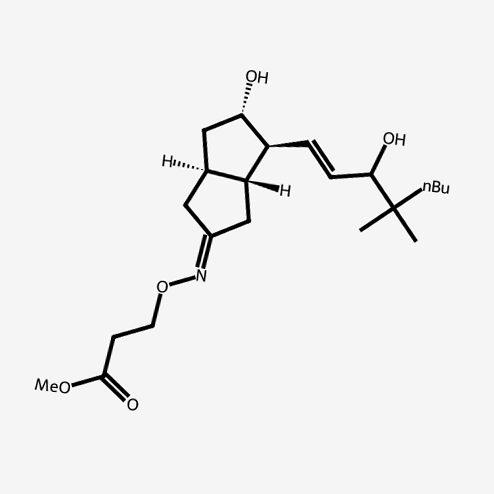 CCCCC(C)(C)C(O)C=C[C@H]1[C@@H]2C/C(=N/OCCC(=O)OC)C[C@H]2C[C@@H]1O